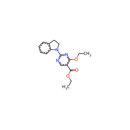 CCOC(=O)c1cnc(N2CCc3ccccc32)nc1OCC